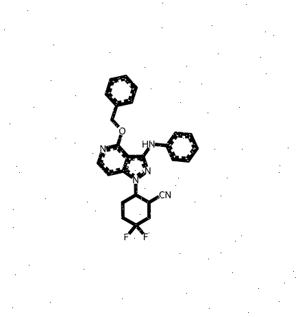 N#CC1CC(F)(F)CCC1n1nc(Nc2ccccc2)c2c(OCc3ccccc3)nccc21